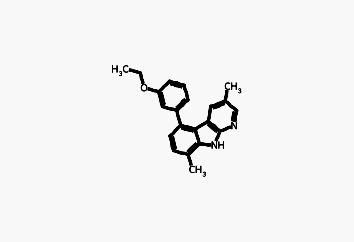 CCOc1cccc(-c2ccc(C)c3[nH]c4ncc(C)cc4c23)c1